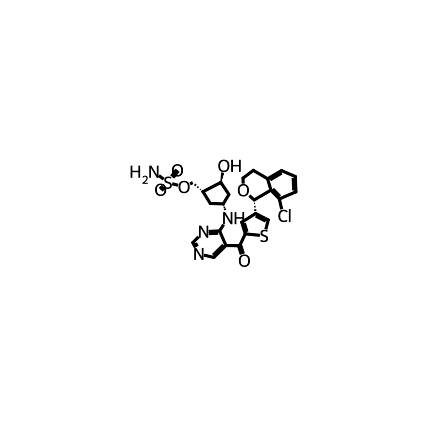 NS(=O)(=O)OC[C@H]1C[C@@H](Nc2ncncc2C(=O)c2cc([C@@H]3OCCc4cccc(Cl)c43)cs2)C[C@@H]1O